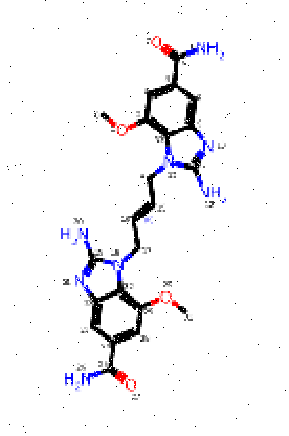 COc1cc(C(N)=O)cc2nc(N)n(C/C=C/Cn3c(N)nc4cc(C(N)=O)cc(OC)c43)c12